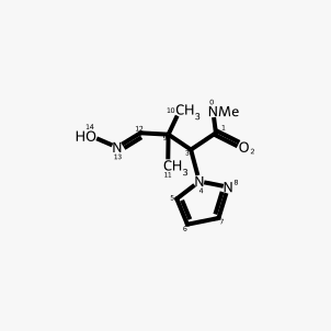 CNC(=O)C(n1cccn1)C(C)(C)C=NO